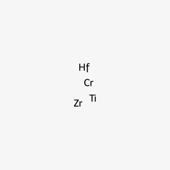 [Cr].[Hf].[Ti].[Zr]